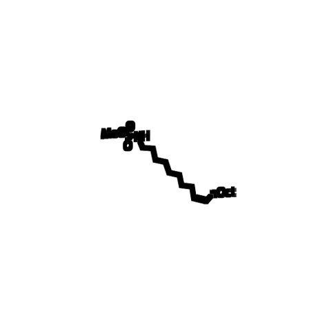 CCCCCCCC/C=C\CCCCCCCCNS(=O)(=O)OC